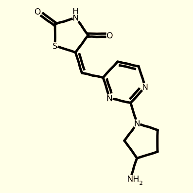 NC1CCN(c2nccc(C=C3SC(=O)NC3=O)n2)C1